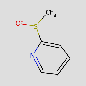 [O-][S+](c1cc[c]cn1)C(F)(F)F